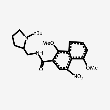 CCCCN1CCCC1CNC(=O)c1cc([N+](=O)[O-])c2c(OC)cccc2c1OC